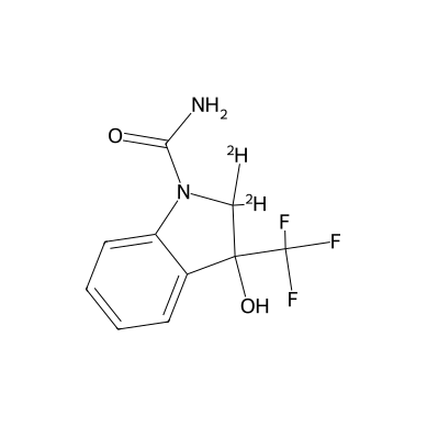 [2H]C1([2H])N(C(N)=O)c2ccccc2C1(O)C(F)(F)F